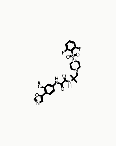 COc1cc(NC(=O)C(=O)NC(C)(C)CN2CCN(S(=O)(=O)c3c(F)cccc3F)CC2)ccc1-c1cnco1